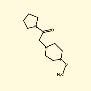 CON1CCN(CC(=O)N2CCCC2)CC1